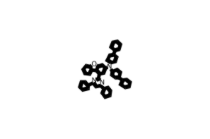 c1ccc(-c2ccc(N(c3ccc(-c4ccccc4)cc3)c3cc(-c4nc(-c5ccccc5)cc(-c5ccccc5)n4)c4c(c3)oc3ccccc34)cc2)cc1